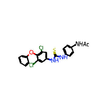 CC(=O)Nc1ccc(NC(=S)Nc2cc(Cl)c(Oc3ccccc3)c(Cl)c2)cc1